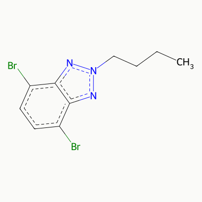 CCCCn1nc2c(Br)ccc(Br)c2n1